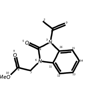 C=C(C)n1c(=O)n(CC(=O)OC)c2ccccc21